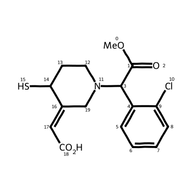 COC(=O)C(c1ccccc1Cl)N1CCC(S)/C(=C/C(=O)O)C1